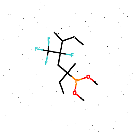 CCC(C)C(F)(CC(C)(CC)P(OC)OC)C(F)(F)F